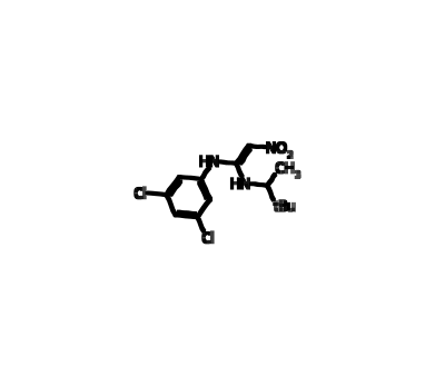 CC(NC(=C[N+](=O)[O-])Nc1cc(Cl)cc(Cl)c1)C(C)(C)C